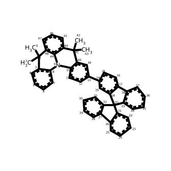 CC1(C)c2ccccc2N2c3ccc(-c4ccc5c(c4)C4(c6ccccc6-c6ccccc64)c4ccccc4-5)cc3C(C)(C)c3cccc1c32